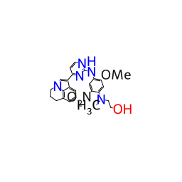 COc1cc(N(C)CCO)c([N+](=O)[O-])cc1Nc1nccc(-c2cn3c4c(cccc24)CCC3)n1